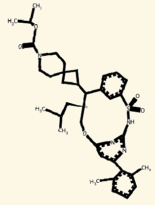 Cc1cccc(C)c1-c1cc2nc(n1)NS(=O)(=O)c1cccc(c1)C(C1CC3(CCN(C(=O)OC(C)C)CC3)C1)[C@H](CC(C)C)CO2